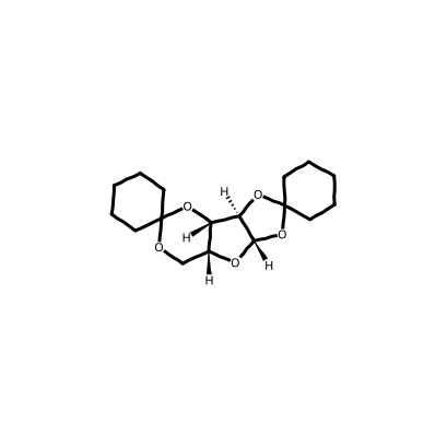 C1CCC2(CC1)OC[C@H]1O[C@H]3OC4(CCCCC4)O[C@@H]3[C@H]1O2